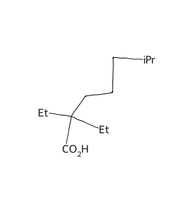 CCC(CC)(CCCC(C)C)C(=O)O